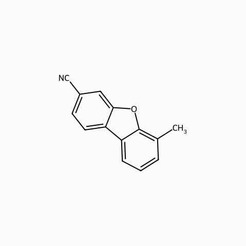 Cc1cccc2c1oc1cc(C#N)ccc12